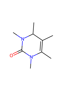 CC1=C(C)N(C)C(=O)N(C)C1C